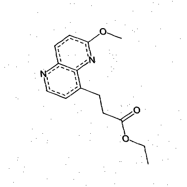 CCOC(=O)CCc1ccnc2ccc(OC)nc12